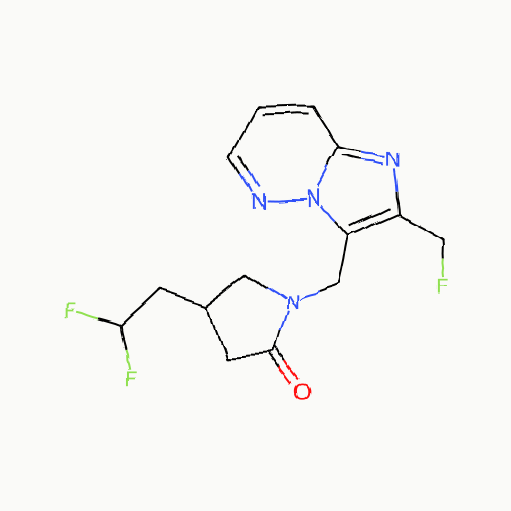 O=C1CC(CC(F)F)CN1Cc1c(CF)nc2cccnn12